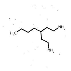 CCCCC(CCN)CCN